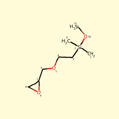 C[Si](C)(CCOCC1CO1)O[SiH3]